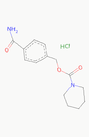 Cl.NC(=O)c1ccc(COC(=O)N2CCCCC2)cc1